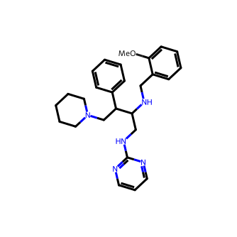 COc1ccccc1CNC(CNc1ncccn1)C(CN1CCCCC1)c1ccccc1